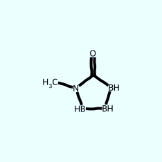 CN1BBBC1=O